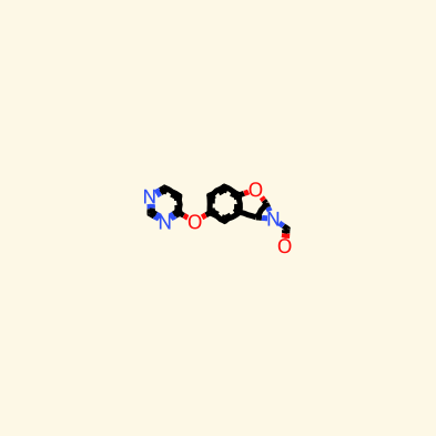 O=CN1C2Oc3ccc(Oc4ccncn4)cc3C21